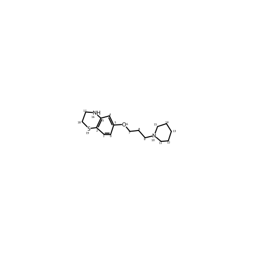 c1cc2c(cc1OCCCN1CCCCC1)NCCS2